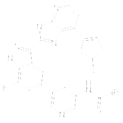 CC(C)C(=O)Nc1cncc(-c2cc(F)c3[nH]nc(-c4nc5c(-c6ccc(F)s6)ccnc5[nH]4)c3c2)c1